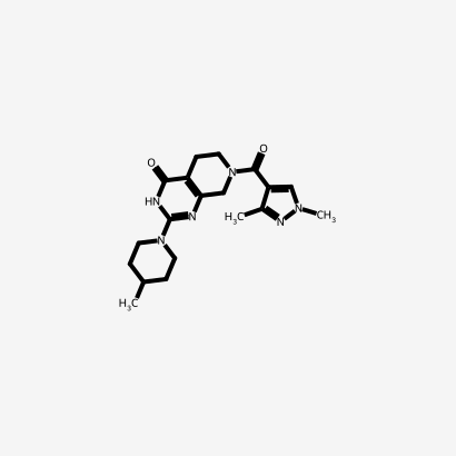 Cc1nn(C)cc1C(=O)N1CCc2c(nc(N3CCC(C)CC3)[nH]c2=O)C1